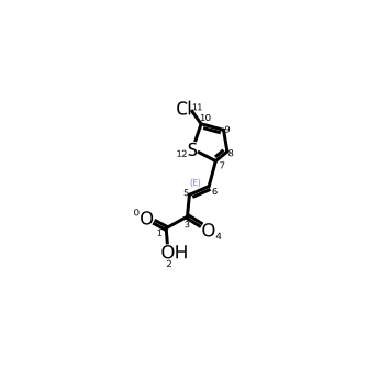 O=C(O)C(=O)/C=C/c1ccc(Cl)s1